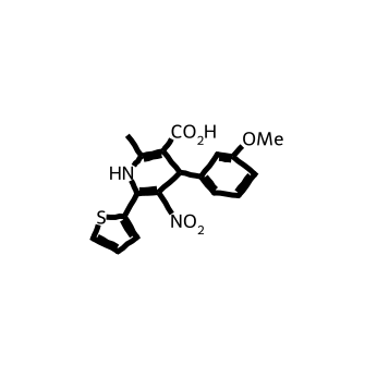 COc1cccc(C2C(C(=O)O)=C(C)NC(c3cccs3)=C2[N+](=O)[O-])c1